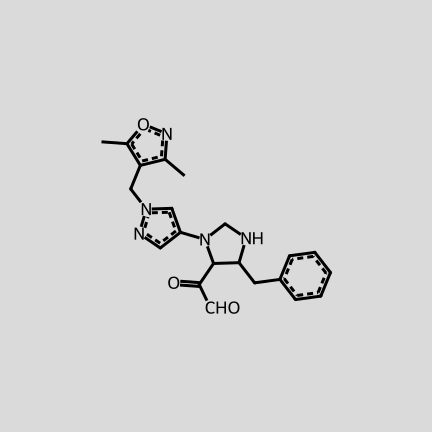 Cc1noc(C)c1Cn1cc(N2CNC(Cc3ccccc3)C2C(=O)C=O)cn1